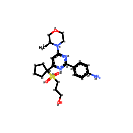 C[C@H]1COCCN1c1cc(C2(S(=O)(=O)CCCO)CCCC2)nc(-c2ccc(N)cc2)n1